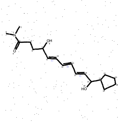 CN(C)C(=O)CCC(O)/C=C/C=C/C=C/C(O)C1CCCC1